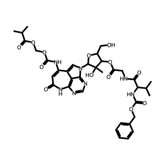 CC(C)C(=O)OCOC(=O)NC1=CC(=O)Nc2ncnc3c2c1cn3C1OC(CO)C(OC(=O)CNC(=O)C(NC(=O)OCc2ccccc2)C(C)C)C1(C)O